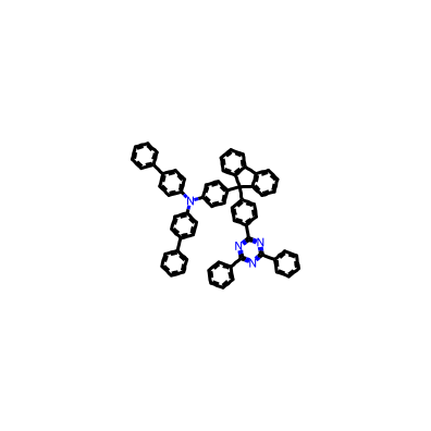 c1ccc(-c2ccc(N(c3ccc(-c4ccccc4)cc3)c3ccc(C4(c5ccc(-c6nc(-c7ccccc7)nc(-c7ccccc7)n6)cc5)c5ccccc5-c5ccccc54)cc3)cc2)cc1